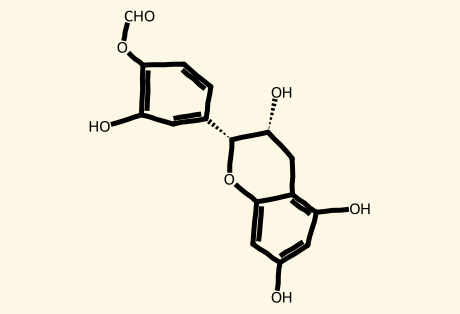 O=COc1ccc([C@H]2Oc3cc(O)cc(O)c3C[C@H]2O)cc1O